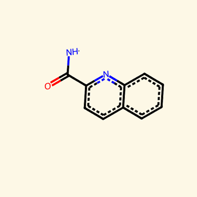 [NH]C(=O)c1ccc2ccccc2n1